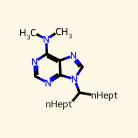 CCCCCCCC(CCCCCCC)n1cnc2c(N(C)C)ncnc21